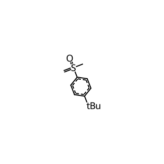 C=S(C)(=O)c1ccc(C(C)(C)C)cc1